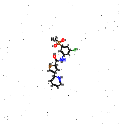 CS(=O)(=O)c1cc(F)cc(NC(=O)c2cc(-c3ccccn3)cs2)c1